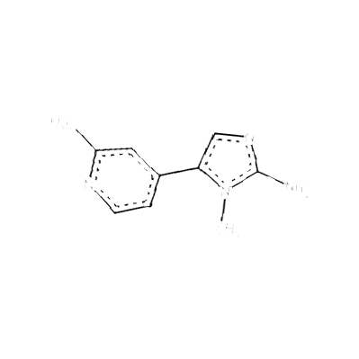 Cc1cc(-c2cnc(N)n2C)ccn1